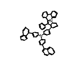 c1ccc(-c2c3c(-c4ccc(N(c5ccc(-c6cccc7ccccc67)cc5)c5ccc(-c6cccc7ccccc67)cc5)cc4)cccc3n3c4ccccc4c4ccccc4c23)cc1